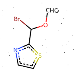 O=COC(Br)c1nccs1